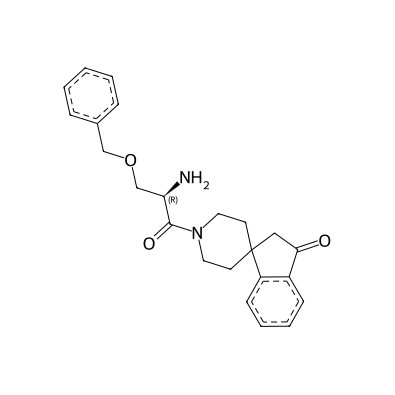 N[C@H](COCc1ccccc1)C(=O)N1CCC2(CC1)CC(=O)c1ccccc12